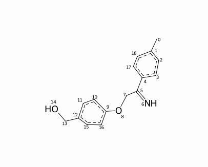 Cc1ccc(C(=N)COc2ccc(CO)cc2)cc1